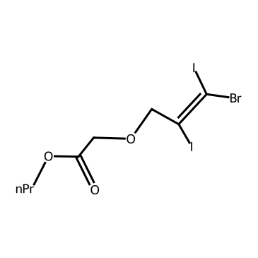 CCCOC(=O)COC/C(I)=C(/Br)I